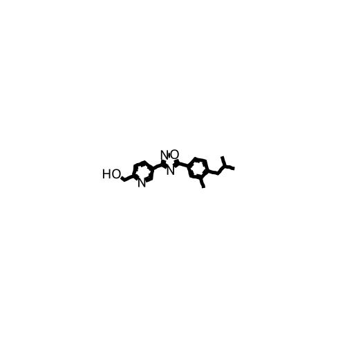 Cc1cc(-c2nc(-c3ccc(CO)nc3)no2)ccc1CC(C)C